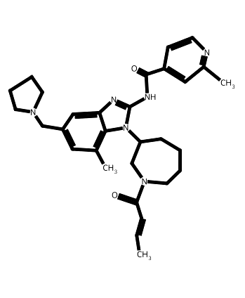 C/C=C/C(=O)N1CCCCC(n2c(NC(=O)c3ccnc(C)c3)nc3cc(CN4CCCC4)cc(C)c32)C1